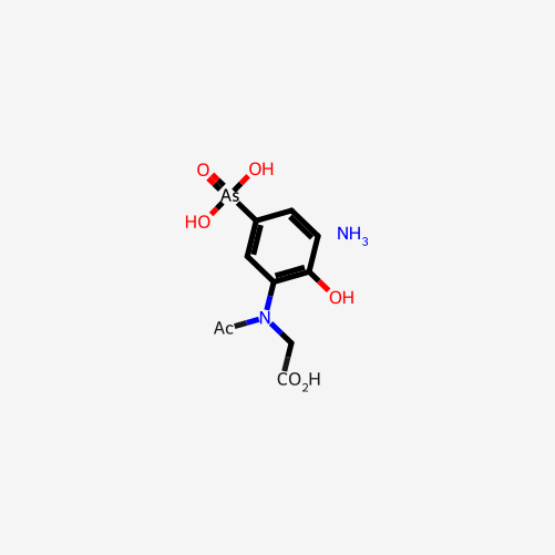 CC(=O)N(CC(=O)O)c1cc([As](=O)(O)O)ccc1O.N